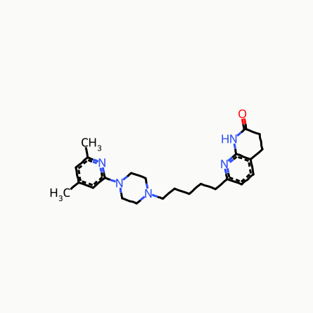 Cc1cc(C)nc(N2CCN(CCCCCc3ccc4c(n3)NC(=O)CC4)CC2)c1